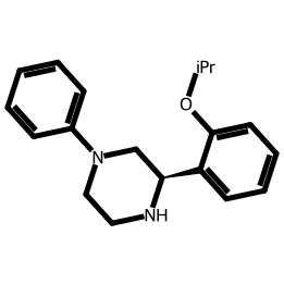 CC(C)Oc1ccccc1[C@@H]1CN(c2ccccc2)CCN1